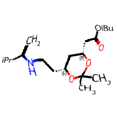 C=C(NCC[C@@H]1C[C@H](CC(=O)OCC(C)C)OC(C)(C)O1)C(C)C